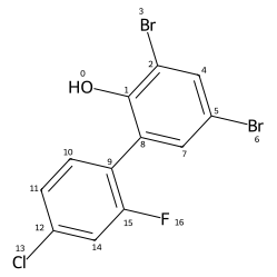 Oc1c(Br)cc(Br)cc1-c1ccc(Cl)cc1F